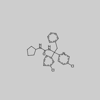 O=C(NC1CCCC1)NC(Cc1ccccc1)(c1cccc(Cl)c1)c1ccc(Cl)cn1